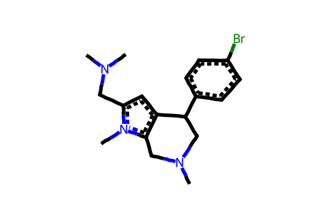 CN(C)Cc1cc2c(n1C)CN(C)CC2c1ccc(Br)cc1